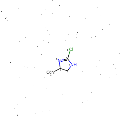 O=[N+]([O-])C1CNC(Cl)=N1